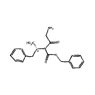 NCC(=O)N(C(=O)OCc1ccccc1)[C@H](Cc1ccccc1)C(=O)O